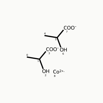 CC(O)C(=O)[O-].CC(O)C(=O)[O-].[Co+2]